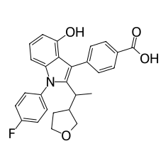 CC(c1c(-c2ccc(C(=O)O)cc2)c2c(O)cccc2n1-c1ccc(F)cc1)C1CCOC1